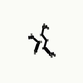 C=CCCC.O=NO